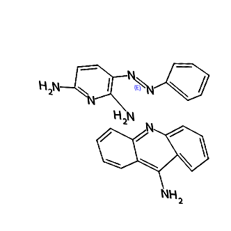 Nc1c2ccccc2nc2ccccc12.Nc1ccc(/N=N/c2ccccc2)c(N)n1